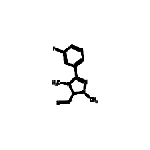 CN1N=C(c2cccc(F)c2)N(C)C1C=S